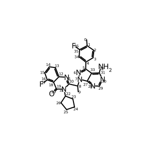 Cc1ccc(-c2nn(C(C)c3nc4cccc(F)c4c(=O)n3C3CCCC3)c3ncnc(N)c23)cc1F